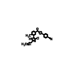 CNCCc1nc(Cl)c(-c2cc(C(=O)N3CC(c4ccc(C#N)cc4)C3)ccc2C)[nH]1